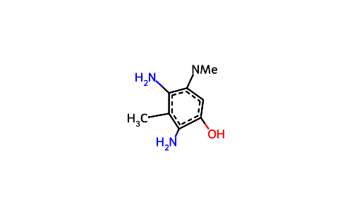 CNc1cc(O)c(N)c(C)c1N